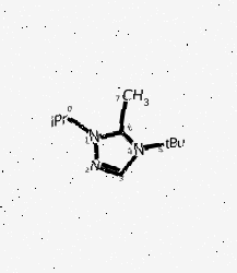 CC(C)N1N=CN(C(C)(C)C)C1C